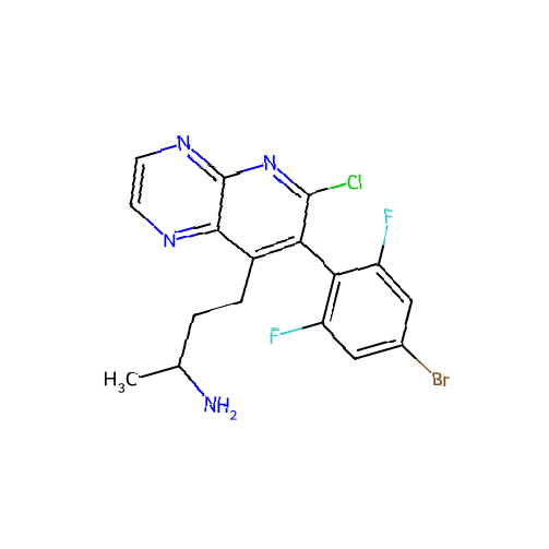 CC(N)CCc1c(-c2c(F)cc(Br)cc2F)c(Cl)nc2nccnc12